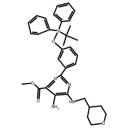 COC(=O)c1nc(-c2cccc(O[Si](c3ccccc3)(c3ccccc3)C(C)(C)C)c2)nc(NCC2CCOCC2)c1N